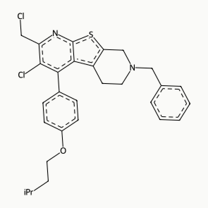 CC(C)CCOc1ccc(-c2c(Cl)c(CCl)nc3sc4c(c23)CCN(Cc2ccccc2)C4)cc1